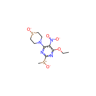 CCOc1nc([S+](C)[O-])nc(N2CC[S+]([O-])CC2)c1[N+](=O)[O-]